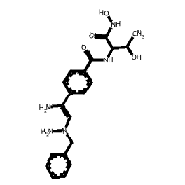 CC(O)C(NC(=O)c1ccc(/C(N)=C/N(N)Cc2ccccc2)cc1)C(=O)NO